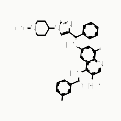 C[C@@H](Nc1c(C#N)cnc2c(Cl)cc(N[C@H](C3=CN(C4CCN(C(C)(C)C)CC4)NN3)c3ccccc3)cc12)c1cccc(F)c1